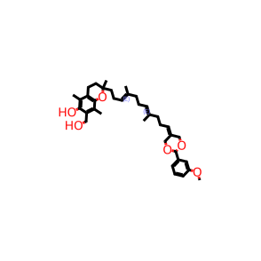 COc1cccc(C2OCC(=CCC/C(C)=C/CC/C(C)=C/CCC3(C)CCc4c(C)c(O)c(CO)c(C)c4O3)CO2)c1